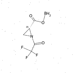 BOC(=O)[C@H]1CN1C(=O)C(F)(F)F